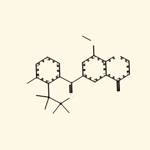 CSc1cc(C2=NC(C)(C)C(C)(C)c3c(Br)cccc32)cc2c(=O)ccoc12